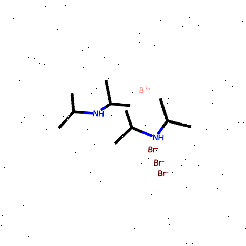 CC(C)NC(C)C.CC(C)NC(C)C.[B+3].[Br-].[Br-].[Br-]